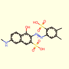 CNc1ccc2c(O)c(/N=N/c3cc(C)c(C)cc3S(=O)(=O)O)c(S(=O)(=O)O)cc2c1